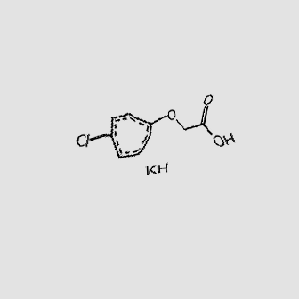 O=C(O)COc1ccc(Cl)cc1.[KH]